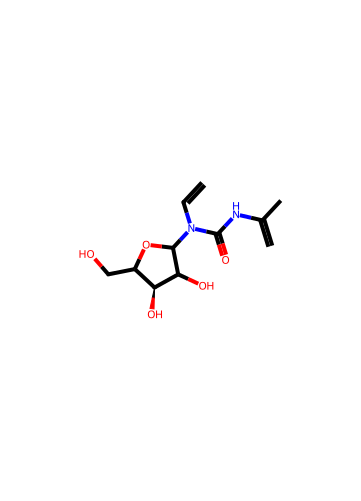 C=CN(C(=O)NC(=C)C)C1OC(CO)[C@H](O)C1O